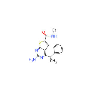 C=C(c1ccccc1)c1nc(N)nc2sc(C(=O)NCC)cc12